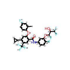 Cc1cc(F)ccc1Oc1cc(C2CC2)c(C(F)(F)F)cc1C(=O)Nc1ccc(F)c(OC(F)C(O)C(F)F)c1